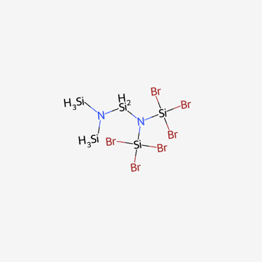 [SiH3]N([SiH3])[SiH2]N([Si](Br)(Br)Br)[Si](Br)(Br)Br